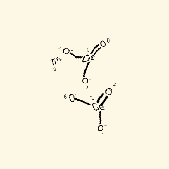 [O]=[Ge]([O-])[O-].[O]=[Ge]([O-])[O-].[Ti+4]